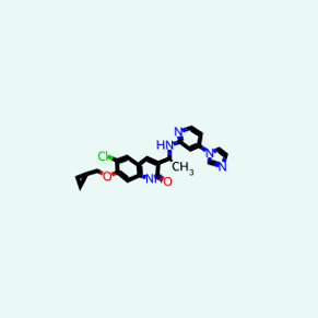 C[C@H](Nc1cc(-n2ccnc2)ccn1)c1cc2cc(Cl)c(OCC3CC3)cc2[nH]c1=O